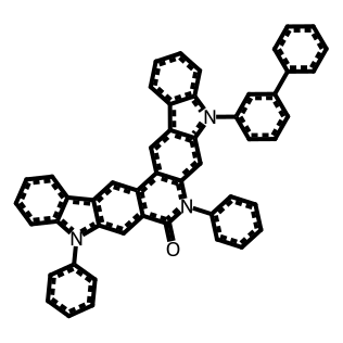 O=c1c2cc3c(cc2c2cc4c5ccccc5n(-c5cccc(-c6ccccc6)c5)c4cc2n1-c1ccccc1)c1ccccc1n3-c1ccccc1